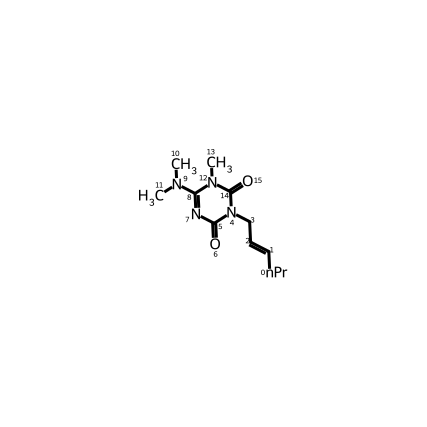 CCCC=CCn1c(=O)nc(N(C)C)n(C)c1=O